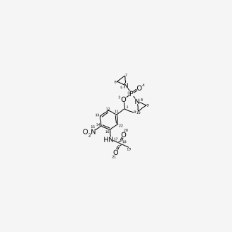 CC(OP(=O)(N1CC1)N1CC1)c1ccc([N+](=O)[O-])c(NS(C)(=O)=O)c1